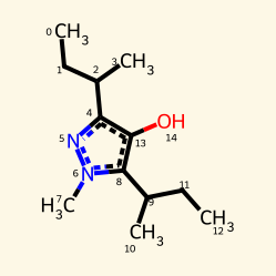 CCC(C)c1nn(C)c(C(C)CC)c1O